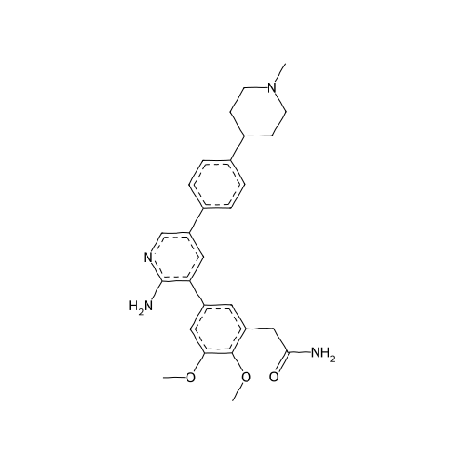 COc1cc(-c2cc(-c3ccc(C4CCN(C)CC4)cc3)cnc2N)cc(CC(N)=O)c1OC